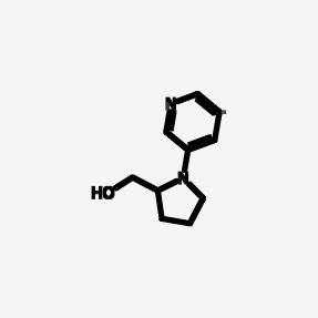 OCC1CCCN1c1c[c]cnc1